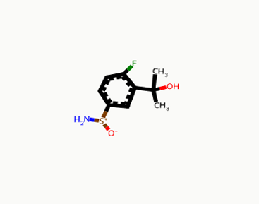 CC(C)(O)c1cc([S+](N)[O-])ccc1F